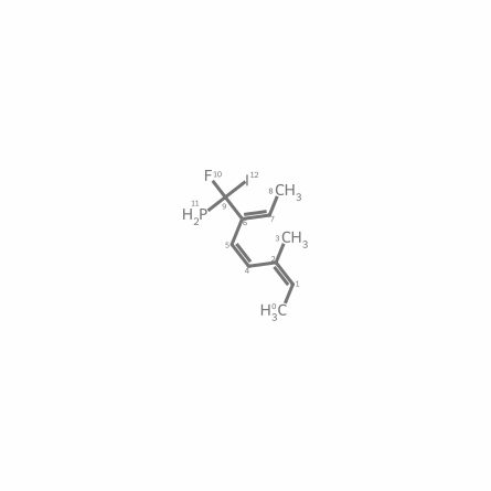 C\C=C(C)/C=C\C(=C\C)C(F)(P)I